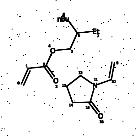 C=CC(=O)OCC(CC)CCCC.C=CN1CCCC1=O